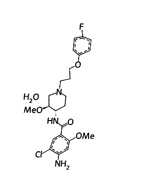 COc1cc(N)c(Cl)cc1C(=O)N[C@H]1CCN(CCCOc2ccc(F)cc2)C[C@@H]1OC.O